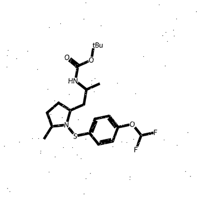 CC(CC1CCC(C)N1Sc1ccc(OC(F)F)cc1)NC(=O)OC(C)(C)C